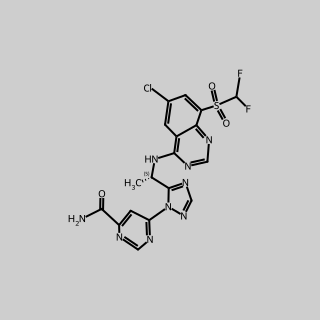 C[C@H](Nc1ncnc2c(S(=O)(=O)C(F)F)cc(Cl)cc12)c1ncnn1-c1cc(C(N)=O)ncn1